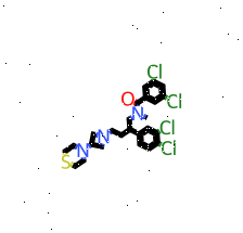 CN(CC(CCN1CC(N2CCSCC2)C1)c1ccc(Cl)c(Cl)c1)C(=O)c1cc(Cl)cc(Cl)c1